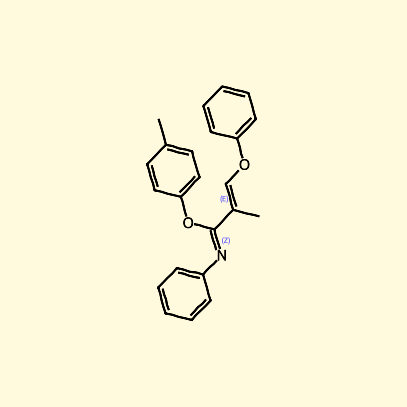 CC(=C\Oc1ccccc1)/C(=N/c1ccccc1)Oc1ccc(C)cc1